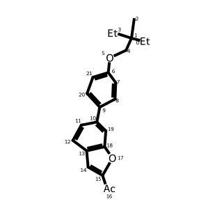 CCC(C)(CC)COc1ccc(-c2ccc3cc(C(C)=O)oc3c2)cc1